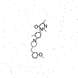 COc1cccc(CC2CCN(c3ccc(-n4c(C)nc(C)cc4=O)cc3C)CC2)c1